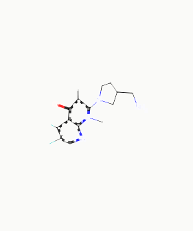 CCn1c(N2CCC(CN)C2)c(C(=O)O)c(=O)c2c(F)c(F)cnc21